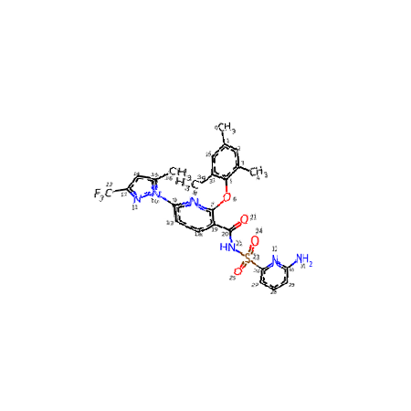 Cc1cc(C)c(Oc2nc(-n3nc(C(F)(F)F)cc3C)ccc2C(=O)NS(=O)(=O)c2cccc(N)n2)c(C)c1